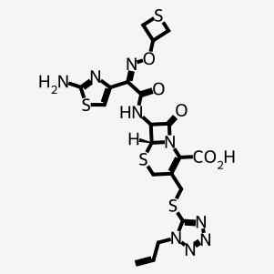 C=CCn1nnnc1SCC1=C(C(=O)O)N2C(=O)C(NC(=O)/C(=N\OC3CSC3)c3csc(N)n3)[C@H]2SC1